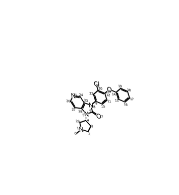 CN1CC[C@@H](n2c(=O)n(-c3ccc(Oc4ccccc4)c(Cl)c3)c3cnccc32)C1